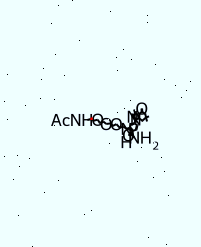 CC(=O)NCCOCCOCCOCCNc1cc(-n2nc(C)c3c2CC(C)(C)CC3=O)ccc1C(N)=O